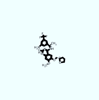 COc1cc2nc(C)nc(N[C@H](C)c3cc(N)cc(C(F)(F)F)c3)c2cc1OC[C@@H]1CCCO1